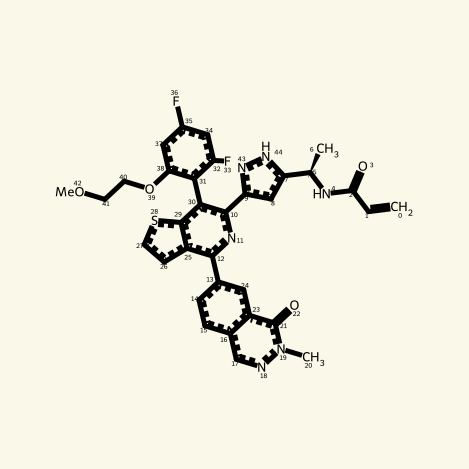 C=CC(=O)N[C@H](C)c1cc(-c2nc(-c3ccc4cnn(C)c(=O)c4c3)c3ccsc3c2-c2c(F)cc(F)cc2OCCOC)n[nH]1